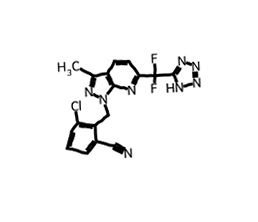 Cc1nn(Cc2c(Cl)cccc2C#N)c2nc(C(F)(F)c3nnn[nH]3)ccc12